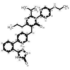 CCCc1nc(C(C)C)n(-c2ncc(OCC)cn2)c(=O)c1Cc1ccc(-c2ccccc2-c2noc(=O)[nH]2)nc1